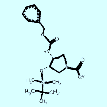 CC(C)(C)[Si](C)(C)O[C@H]1CN(C(=O)O)C[C@H]1NC(=O)OCc1ccccc1